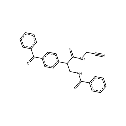 N#CCNC(=O)C(CNC(=O)c1ccccc1)c1ccc(C(=O)c2ccccc2)cc1